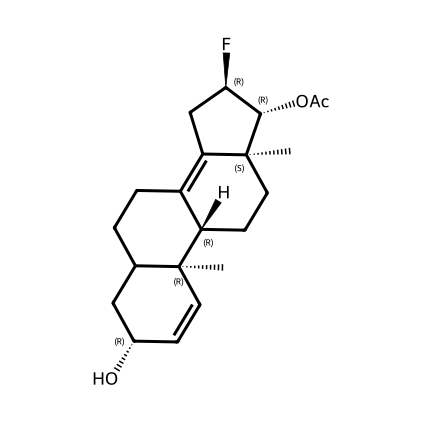 CC(=O)O[C@H]1[C@H](F)CC2=C3CCC4C[C@@H](O)C=C[C@]4(C)[C@H]3CC[C@@]21C